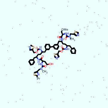 COCC(NC(=O)N(C)Cc1cncs1)C(=O)NC(CCC(Cc1ccccc1)NC(=O)OCc1cncs1)Cc1cccc(-c2cccc(CC(CCC(Cc3ccccc3)NC(=O)C(CCO)NC(=O)N(C)Cc3csc(C(C)C)n3)NC(=O)OCc3cncs3)c2)c1